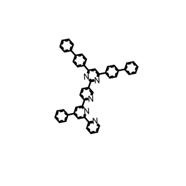 c1ccc(-c2ccc(-c3cc(-c4ccc(-c5ccccc5)cc4)nc(-c4ccc(-c5cc(-c6ccccc6)cc(-c6ccccn6)n5)nc4)n3)cc2)cc1